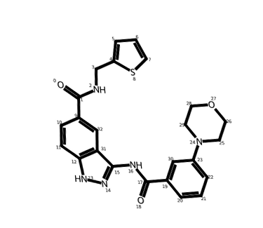 O=C(NCc1cccs1)c1ccc2[nH]nc(NC(=O)c3cccc(N4CCOCC4)c3)c2c1